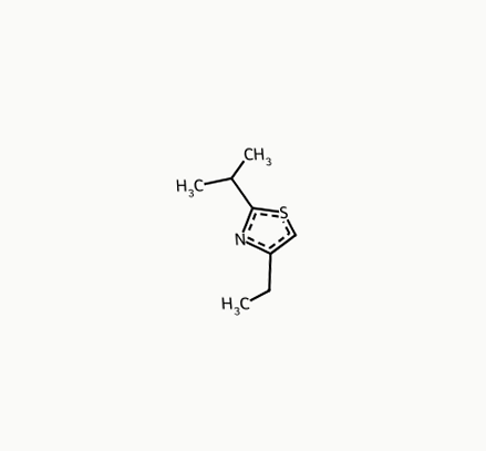 CCc1csc(C(C)C)n1